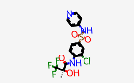 C[C@@](O)(C(=O)Nc1ccc(S(=O)(=O)Nc2ccncc2)cc1Cl)C(F)(F)F